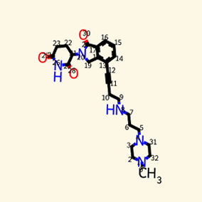 CN1CCN(CCCNCCC#Cc2cccc3c2CN(C2CCC(=O)NC2=O)C3=O)CC1